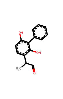 CC(C=O)c1ccc(O)c(-c2ccccc2)c1O